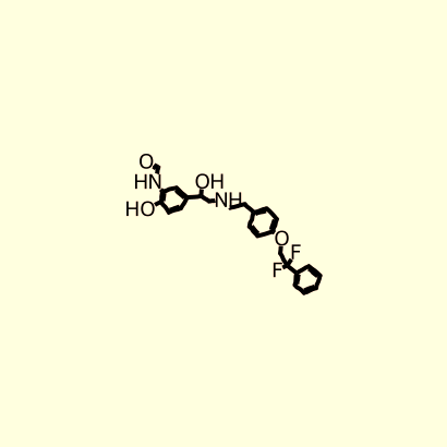 O=CNc1cc(C(O)CNCCc2ccc(OCC(F)(F)c3ccccc3)cc2)ccc1O